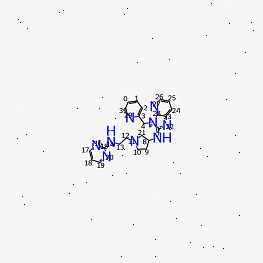 c1ccc(Cn2c(NC3CCN(CCNc4ncccn4)C3)nc3cccnc32)nc1